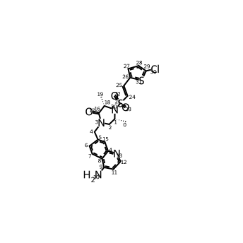 C[C@@H]1CN(Cc2ccc3c(N)ccnc3c2)C(=O)[C@H](C)N1S(=O)(=O)/C=C/c1ccc(Cl)s1